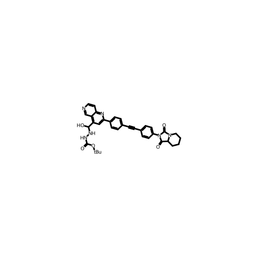 CC(C)(C)OC(=O)NNC(O)c1cc(-c2ccc(C#Cc3ccc(N4C(=O)C5CCCCN5C4=O)cc3)cc2)nc2ccncc12